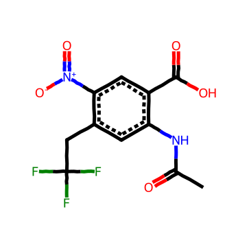 CC(=O)Nc1cc(CC(F)(F)F)c([N+](=O)[O-])cc1C(=O)O